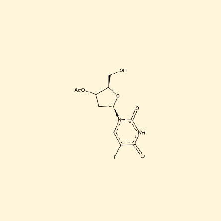 CC(=O)OC1C[C@H](n2cc(I)c(=O)[nH]c2=O)O[C@@H]1CO